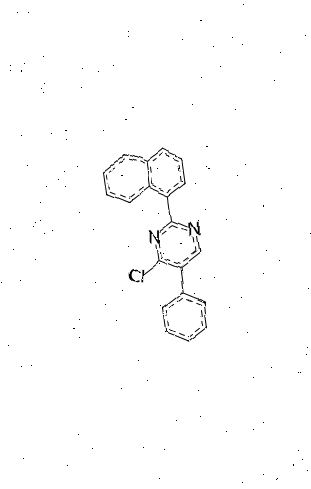 Clc1nc(-c2cccc3ccccc23)ncc1-c1ccccc1